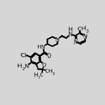 Cc1nccnc1NCCN1CCC(NC(=O)c2cc(Cl)c(N)c3c2OC(C)(C)C3)CC1